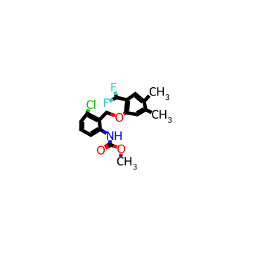 COC(=O)Nc1cccc(Cl)c1COc1cc(C)c(C)cc1C(F)F